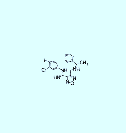 C[C@H](NCc1nonc1C(=N)Nc1ccc(F)c(Cl)c1)c1ccccc1